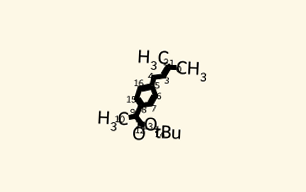 CC(C)=CCc1ccc(C(C)C(=O)OC(C)(C)C)cc1